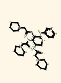 O=C(CN1CCCCC1)O[C@@H]1[C@@H](OC(=O)CN2CCCCC2)[C@H](OC(=O)CN2CCCCC2)CS[C@H]1Oc1cccnc1